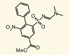 COC(=O)c1cc([N+](=O)[O-])c(-c2ccccc2)c(S(=O)(=O)N=CN(C)C)c1